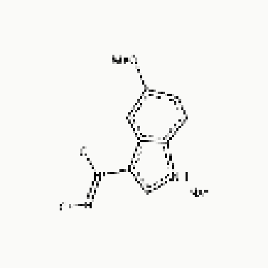 COc1ccc2[nH]cc([N+]([O-])=N[O-])c2c1.[Na+]